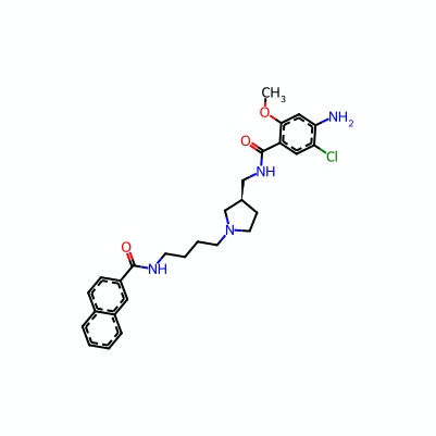 COc1cc(N)c(Cl)cc1C(=O)NC[C@H]1CCN(CCCCNC(=O)c2ccc3ccccc3c2)C1